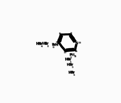 Br.Br.Br.Br.Br.Br.P.c1ccncc1